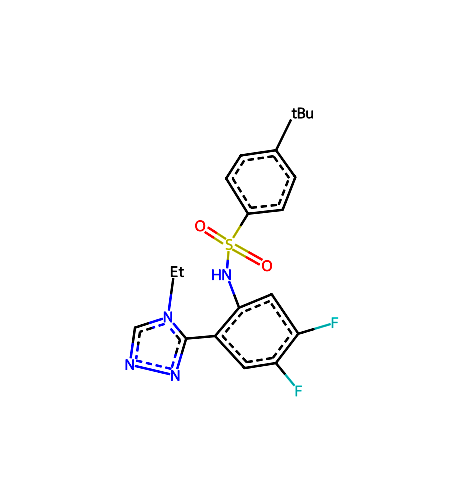 CCn1cnnc1-c1cc(F)c(F)cc1NS(=O)(=O)c1ccc(C(C)(C)C)cc1